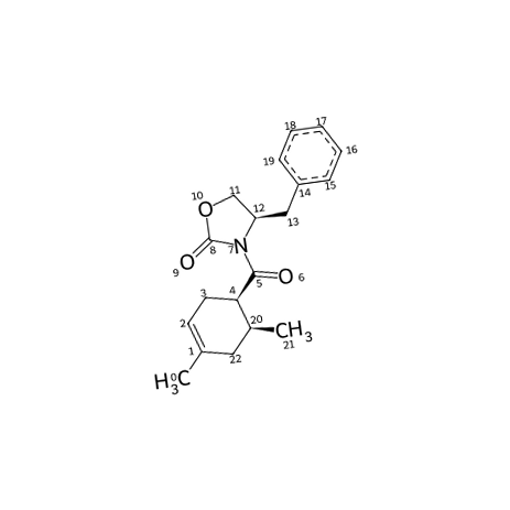 CC1=CC[C@@H](C(=O)N2C(=O)OC[C@H]2Cc2ccccc2)[C@@H](C)C1